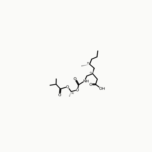 CCC[C@@H](C)C[C@H](CNC(=O)O[C@H](C)OC(=O)C(C)C)CC(=O)O